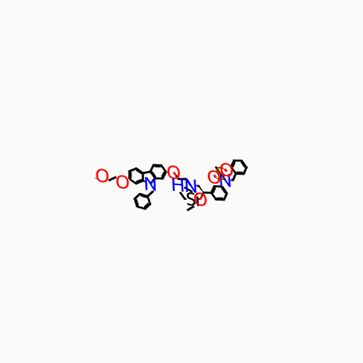 CC[Si](CC)(CC)O[C@@H](CNCCOc1ccc2c3ccc(OCCOC)cc3n(Cc3ccccc3)c2c1)c1cccc(N(Cc2ccccc2)S(C)(=O)=O)c1